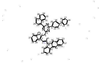 C/C(=C\c1c(Cc2nc(-c3ccc(-c4ccccc4)cc3)nc(-c3cccc4ccccc34)n2)oc2ccccc12)n1c2ccccc2c2cc3ccccc3cc21